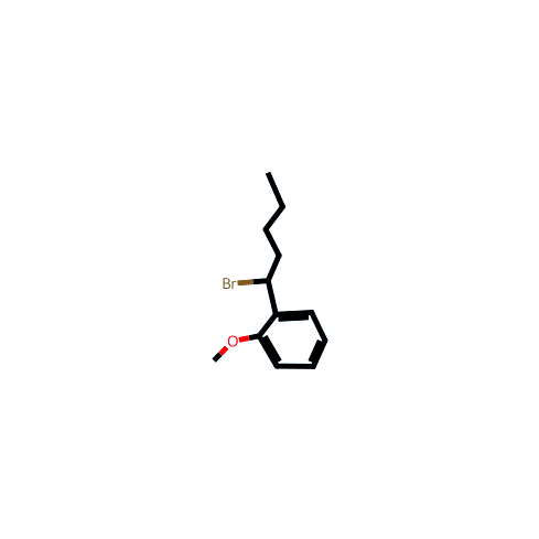 CCCCC(Br)c1ccccc1OC